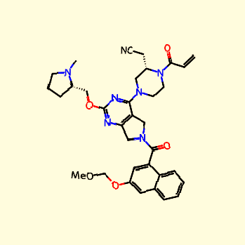 C=CC(=O)N1CCN(c2nc(OC[C@@H]3CCCN3C)nc3c2CN(C(=O)c2cc(OCOC)cc4ccccc24)C3)C[C@@H]1CC#N